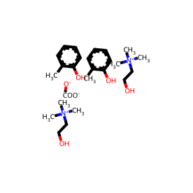 C[N+](C)(C)CCO.C[N+](C)(C)CCO.Cc1ccccc1O.Cc1ccccc1O.O=C([O-])[O-]